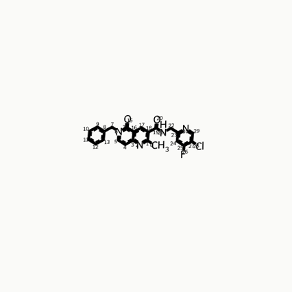 Cc1nc2ccn(Cc3ccccc3)c(=O)c2cc1C(=O)NCc1cc(F)c(Cl)cn1